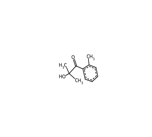 Cc1ccccc1C(=O)C(C)(C)O